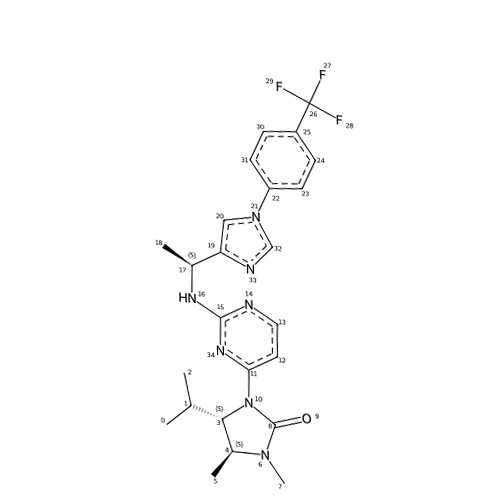 CC(C)[C@H]1[C@H](C)N(C)C(=O)N1c1ccnc(N[C@@H](C)c2cn(-c3ccc(C(F)(F)F)cc3)cn2)n1